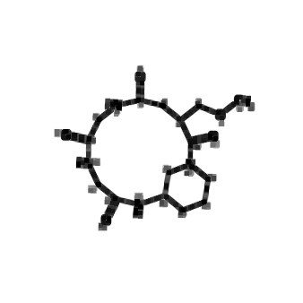 COCC1CC(=O)NCC(=O)NCC(=O)NC2CCCN(C2)C1=O